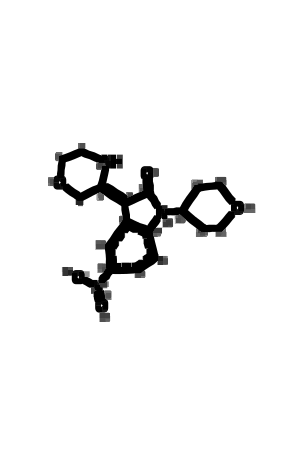 O=C1/C(=C2/COCCN2)c2cc([N+](=O)[O-])ccc2N1C1CCOCC1